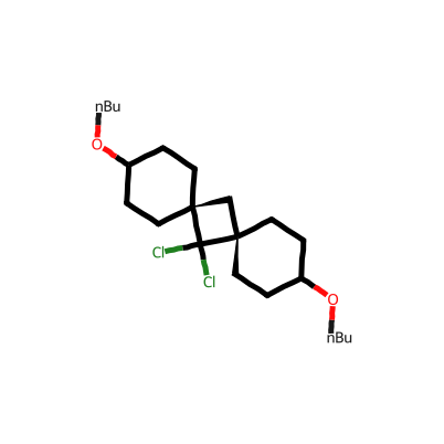 CCCCOC1CC[C@]2(CC1)C[C@@]1(CCC(OCCCC)CC1)C2(Cl)Cl